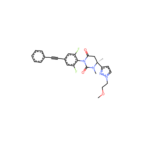 COCCn1ccc([C@]2(C)CC(=O)N(c3c(F)cc(C#Cc4ccccc4)cc3F)C(=O)N2C)n1